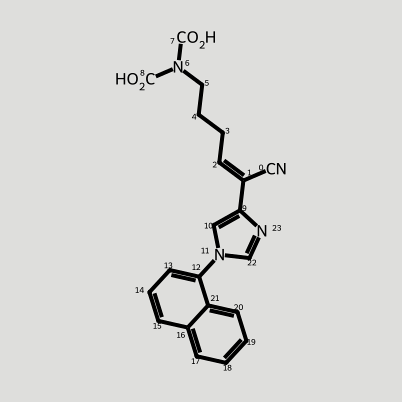 N#CC(=CCCCN(C(=O)O)C(=O)O)c1cn(-c2cccc3ccccc23)cn1